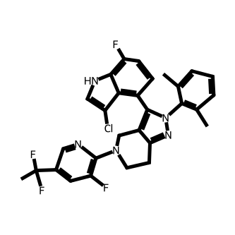 Cc1cccc(C)c1-n1nc2c(c1-c1ccc(F)c3[nH]cc(Cl)c13)CN(c1ncc(C(C)(F)F)cc1F)CC2